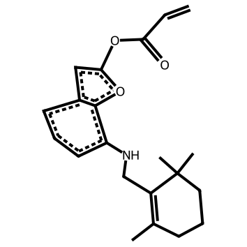 C=CC(=O)Oc1cc2cccc(NCC3=C(C)CCCC3(C)C)c2o1